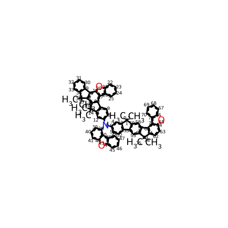 CC1(C)c2cc(N(c3ccc4c(c3)C(C)(C)c3c5c(c6oc7ccccc7c6c3-4)-c3ccccc3C5(C)C)c3cccc4oc5ccccc5c34)ccc2-c2cc3c(cc21)-c1c(ccc2oc4ccccc4c12)C3(C)C